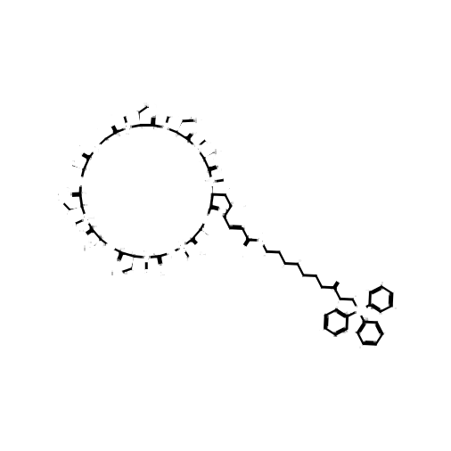 CC[C@@H]1CC(=O)[C@H]([C@H](O)[C@H](C)C/C=C/C(=O)NCCCCCCCC(=O)CC[P+](c2ccccc2)(c2ccccc2)c2ccccc2)N(C)C(=O)[C@H](C(C)C)N(C)C(=O)[C@H](CC(C)C)N(C)C(=O)[C@H](CC(C)C)N(C)C(=O)[C@@H](C)NC(=O)[C@H](C)CC(=O)[C@H](CC(C)C)N(C)C(=O)[C@H](C(C)C)CC(=O)[C@H](CC(C)C)N(C)C(=O)CN(C)C1=O